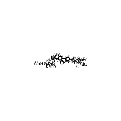 CCCC(=O)N([C@H](CC)C(C)OC)[C@@H](C)c1nc2ccc3cc4c(cc3c2[nH]1)OCc1cc(-c2cnc([C@H](C)N(C(=O)CCC)[C@@H](C)CC)[nH]2)ccc1-4